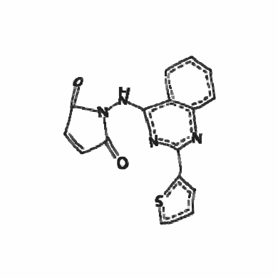 O=C1C=CC(=O)N1Nc1nc(-c2cccs2)nc2ccccc12